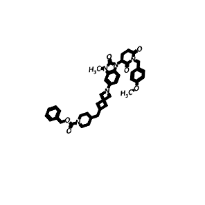 COc1ccc(CN2C(=O)CCC(n3c(=O)n(C)c4cc(N5CC6(CC(CC7CCN(C(=O)OCc8ccccc8)CC7)C6)C5)ccc43)C2=O)cc1